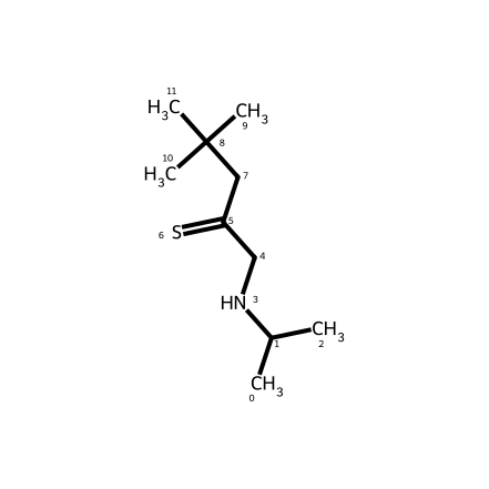 CC(C)NCC(=S)CC(C)(C)C